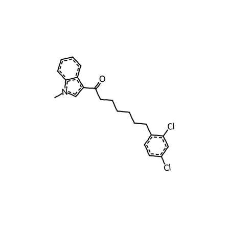 Cn1cc(C(=O)CCCCCCc2ccc(Cl)cc2Cl)c2ccccc21